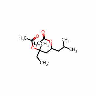 [CH2]CC(C)(CC(CC(C)C)OC(C)=O)OC(C)=O